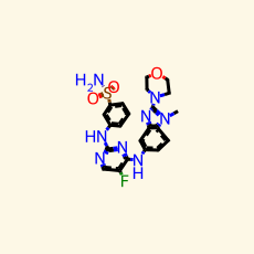 Cn1c(N2CCOCC2)nc2cc(Nc3nc(Nc4cccc(S(N)(=O)=O)c4)ncc3F)ccc21